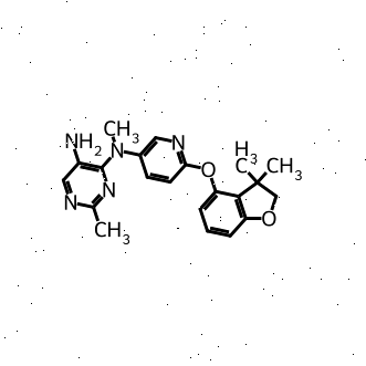 Cc1ncc(N)c(N(C)c2ccc(Oc3cccc4c3C(C)(C)CO4)nc2)n1